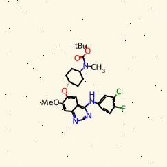 COc1cc2ncnc(Nc3ccc(F)c(Cl)c3)c2cc1O[C@H]1CC[C@H](N(C)C(=O)OC(C)(C)C)CC1